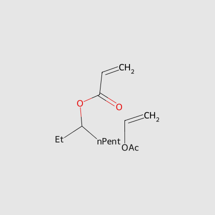 C=CC(=O)OC(CC)CCCCC.C=COC(C)=O